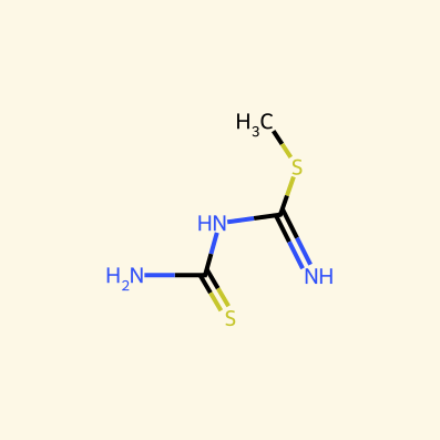 CSC(=N)NC(N)=S